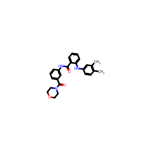 Cc1ccc(Nc2ccccc2C(=O)Nc2cccc(C(=O)N3CCOCC3)c2)cc1C